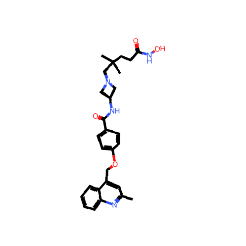 Cc1cc(COc2ccc(C(=O)NC3CN(CC(C)(C)CCC(=O)NO)C3)cc2)c2ccccc2n1